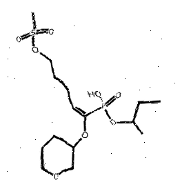 CCC(C)O[P@@](=O)(O)C(=CCCCOS(C)(=O)=O)OC1CCCOC1